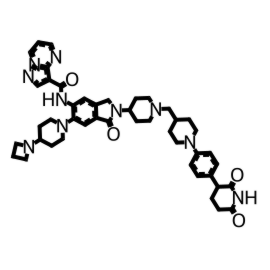 O=C1CCC(c2ccc(N3CCC(CN4CCC(N5Cc6cc(NC(=O)c7cnn8cccnc78)c(N7CCC(N8CCC8)CC7)cc6C5=O)CC4)CC3)cc2)C(=O)N1